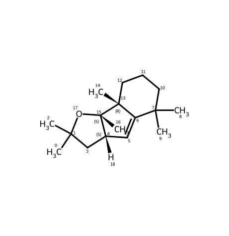 CC1(C)C[C@H]2C=C3C(C)(C)CCC[C@@]3(C)[C@@]2(C)O1